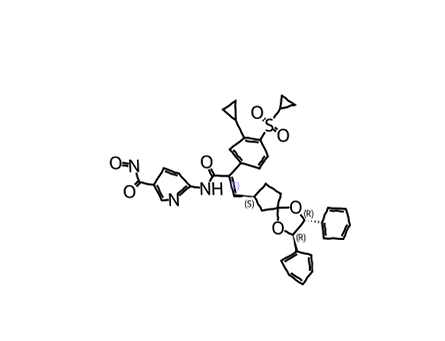 O=NC(=O)c1ccc(NC(=O)/C(=C/[C@H]2CCC3(C2)O[C@H](c2ccccc2)[C@@H](c2ccccc2)O3)c2ccc(S(=O)(=O)C3CC3)c(C3CC3)c2)nc1